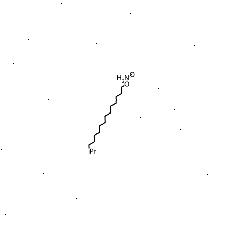 CC(C)CCCCCCCCCCCCCO[NH2+][O-]